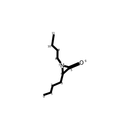 CCCCC1C(=O)N1CCCC